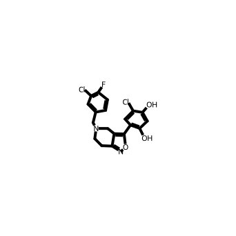 Oc1cc(O)c(-c2onc3c2CN(Cc2ccc(F)c(Cl)c2)CC3)cc1Cl